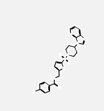 O=C(NCc1ccc(S(=O)(=O)N2CCC(n3cnc4cccnc43)CC2)s1)c1ccc(Cl)cc1